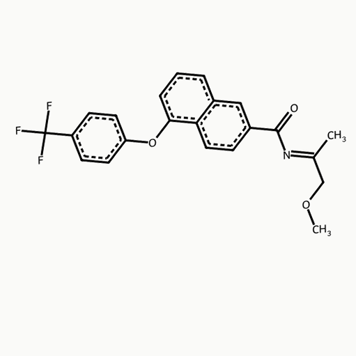 COC/C(C)=N/C(=O)c1ccc2c(Oc3ccc(C(F)(F)F)cc3)cccc2c1